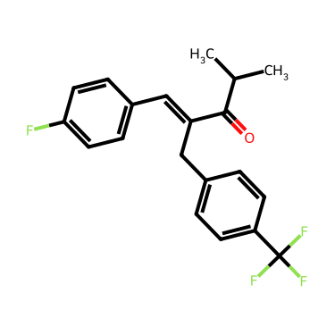 CC(C)C(=O)/C(=C/c1ccc(F)cc1)Cc1ccc(C(F)(F)F)cc1